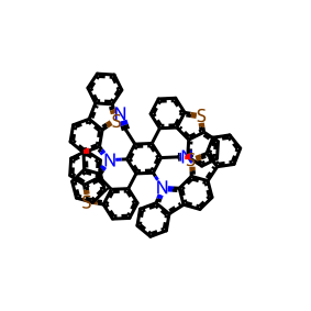 N#Cc1c(-c2cccc3sc4ccccc4c23)c(C#N)c(-n2c3ccccc3c3ccc4c5ccccc5sc4c32)c(-c2cccc3sc4ccccc4c23)c1-n1c2ccccc2c2ccc3c4ccccc4sc3c21